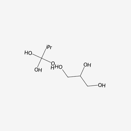 CC(C)C(O)(O)O.OCC(O)CO